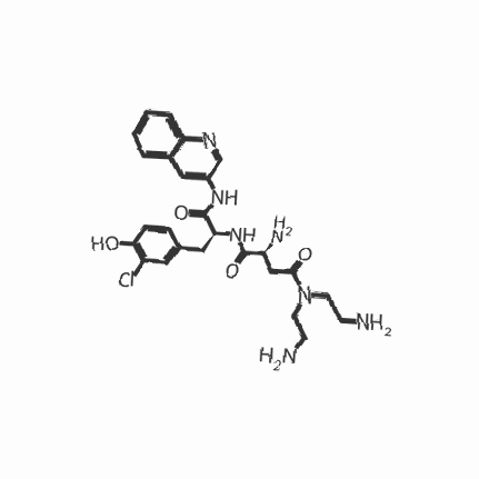 NCCN(CCN)C(=O)C[C@H](N)C(=O)N[C@@H](Cc1ccc(O)c(Cl)c1)C(=O)Nc1cnc2ccccc2c1